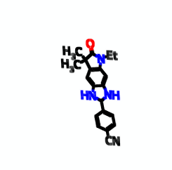 CCN1C(=O)C(C)(C)c2cc3c(cc21)NC(c1ccc(C#N)cc1)N3